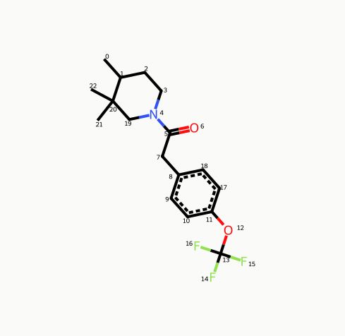 CC1CCN(C(=O)Cc2ccc(OC(F)(F)F)cc2)CC1(C)C